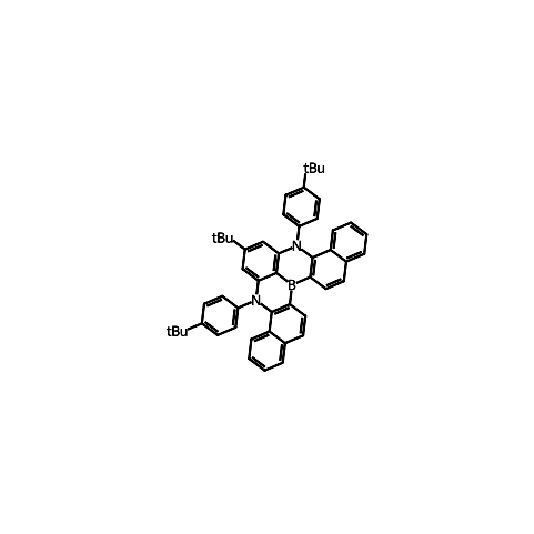 CC(C)(C)c1ccc(N2c3cc(C(C)(C)C)cc4c3B(c3ccc5ccccc5c32)c2ccc3ccccc3c2N4c2ccc(C(C)(C)C)cc2)cc1